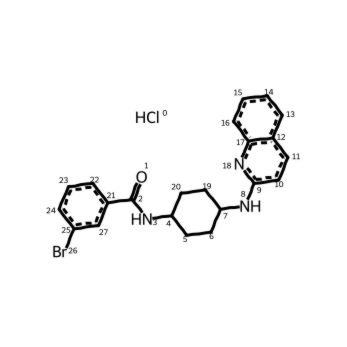 Cl.O=C(NC1CCC(Nc2ccc3ccccc3n2)CC1)c1cccc(Br)c1